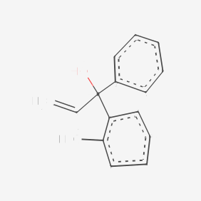 C=CC(O)(c1ccccc1)c1ccccc1C